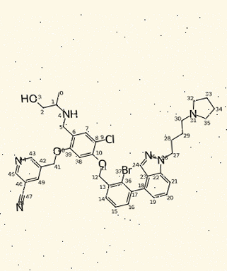 CC(CO)NCc1cc(Cl)c(OCc2cccc(-c3cccc4c3cnn4CCCCN3CCCC3)c2Br)cc1OCc1cncc(C#N)c1